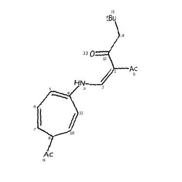 CC(=O)/C(=C/NC1=CC=CC(C(C)=O)C=C1)C(=O)CC(C)(C)C